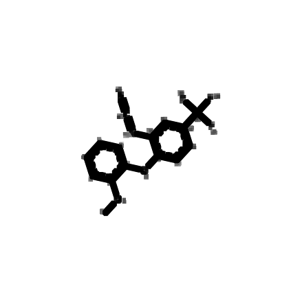 COc1ccccc1Oc1ccc(C(F)(F)F)cc1N=C=S